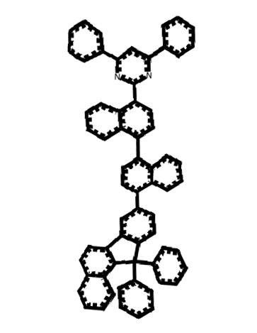 c1ccc(-c2cc(-c3ccccc3)nc(-c3ccc(-c4ccc(-c5ccc6c(c5)-c5ccc7ccccc7c5C6(c5ccccc5)c5ccccc5)c5ccccc45)c4ccccc34)n2)cc1